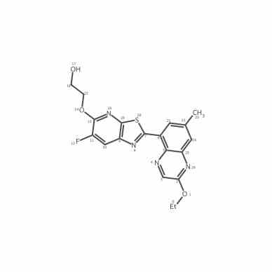 CCOc1cnc2c(-c3nc4cc(F)c(OCCO)nc4s3)cc(C)cc2n1